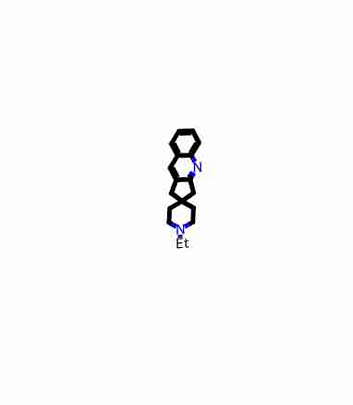 CCN1CCC2(CC1)Cc1cc3ccccc3nc1C2